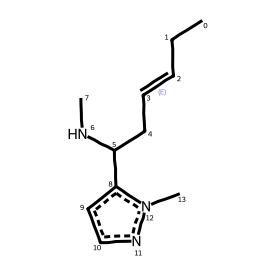 CC/C=C/CC(NC)c1ccnn1C